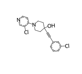 OC1(C#Cc2cccc(Cl)c2)CCN(c2ccncc2Cl)CC1